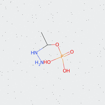 CC(NN)OP(=O)(O)O